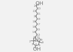 CC1(C)CC(O)CC(C)(C)[N+]1(C)CCCCCCCCCCCCCO